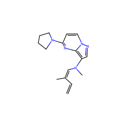 C=C/C(C)=C\N(C)c1cnn2ccc(N3CCCC3)nc12